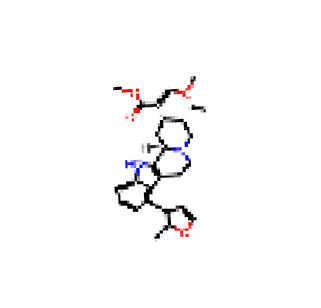 CC[C@@H]1CN2CCc3c([nH]c4cccc(C5C=COC5C)c34)[C@@H]2C[C@@H]1/C(=C\OC)C(=O)OC